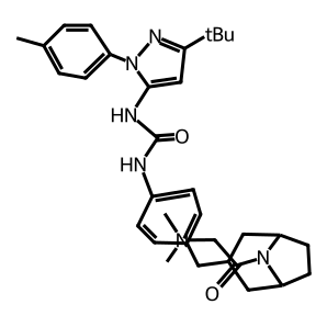 Cc1ccc(-n2nc(C(C)(C)C)cc2NC(=O)Nc2ccc(CC3CC4CCC(C3)N4C(=O)CN(C)C)cc2)cc1